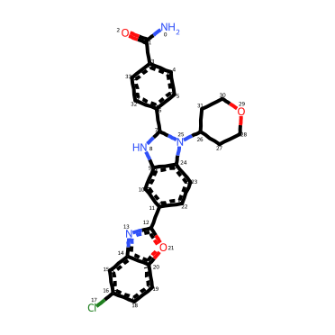 NC(=O)c1ccc(C2Nc3cc(-c4nc5cc(Cl)ccc5o4)ccc3N2C2CCOCC2)cc1